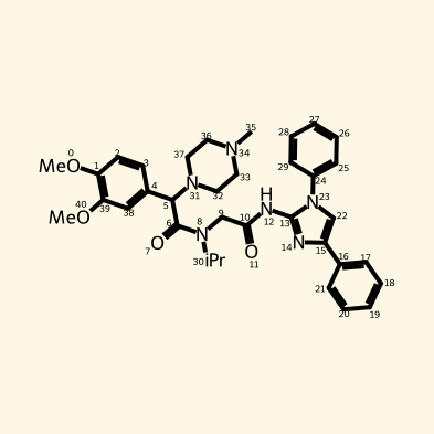 COc1ccc(C(C(=O)N(CC(=O)Nc2nc(-c3ccccc3)cn2-c2ccccc2)C(C)C)N2CCN(C)CC2)cc1OC